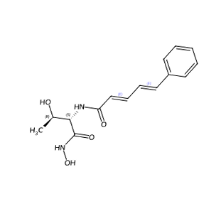 C[C@@H](O)[C@H](NC(=O)/C=C/C=C/c1ccccc1)C(=O)NO